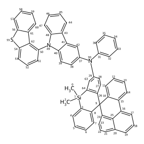 C[Si]1(C)c2ccccc2C2(c3ccccc3-c3cccc4cccc2c34)c2ccc(N(c3ccccc3)c3ccc4c(c3)c3ccccc3n4-c3cccc4sc5ccccc5c34)cc21